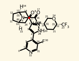 Cc1cc(-c2cc(C(=O)N3[C@@H]4CC[C@H]3CC(C(=O)N[C@H]3CC[C@@H](C(F)(F)F)OC3)C4)n[nH]2)c(F)cn1